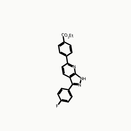 CCOC(=O)c1ccc(-c2ccc3c(-c4ccc(F)cc4)n[nH]c3n2)cc1